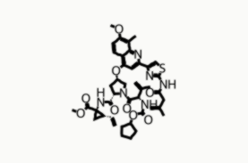 C=C[C@@H]1C[C@]1(NC(=O)[C@@H]1C[C@@H](Oc2cc(-c3csc(NC(=O)CC(=C)C)n3)nc3c(C)c(OC)ccc23)CN1C(=O)[C@@H](NC(=O)OC1CCCC1)C(=C)C)C(=O)OC